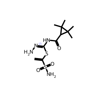 C=C(S/C(=N\N)NC(=O)C1C(C)(C)C1(C)C)S(N)(=O)=O